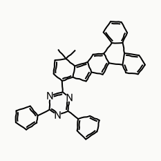 CC1(C)C=CC(c2nc(-c3ccccc3)nc(-c3ccccc3)n2)=C2C=c3cc4c5ccccc5c5ccccc5c4cc3=C21